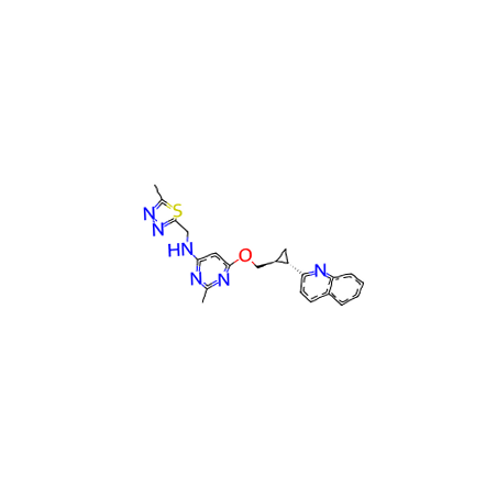 Cc1nc(NCc2nnc(C)s2)cc(OC[C@H]2C[C@@H]2c2ccc3ccccc3n2)n1